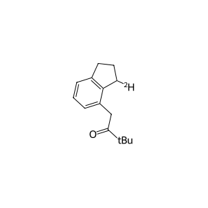 [2H]C1CCc2cccc(CC(=O)C(C)(C)C)c21